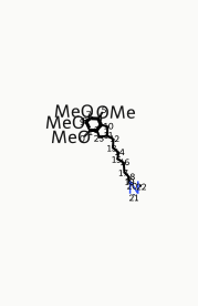 COc1c2c(c(OC)c(OC)c1OC)CC(CCCCCCCCN(C)C)C2